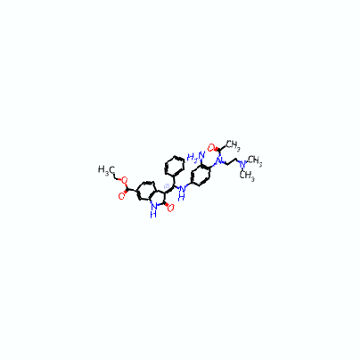 CCOC(=O)c1ccc2c(c1)NC(=O)/C2=C(\Nc1ccc(N(CCN(C)C)C(C)=O)c(N)c1)c1ccccc1